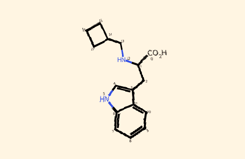 O=C(O)C(Cc1c[nH]c2ccccc12)NCC1CCC1